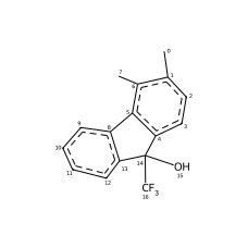 Cc1ccc2c(c1C)-c1ccccc1C2(O)C(F)(F)F